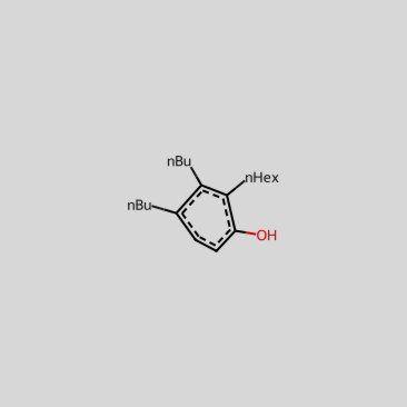 CCCCCCc1c(O)ccc(CCCC)c1CCCC